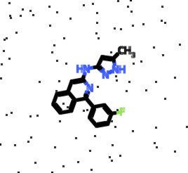 Cc1cc(Nc2cc3ccccc3c(-c3cccc(F)c3)n2)n[nH]1